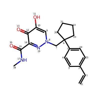 C=Cc1ccc(C2(Cn3cc(O)c(=O)c(C(=O)NC)n3)CCCC2)cc1